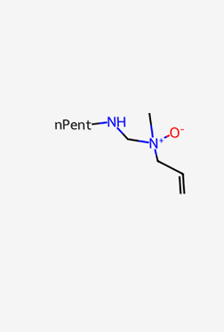 C=CC[N+](C)([O-])CNCCCCC